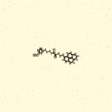 CC(C)(C)c1cn(CCCCNC(=O)CCCc2ccc3ccc4cccc5ccc2c3c45)nn1